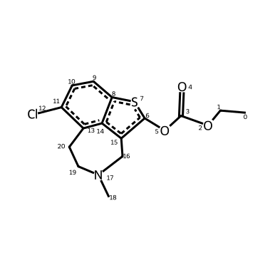 CCOC(=O)Oc1sc2ccc(Cl)c3c2c1CN(C)CC3